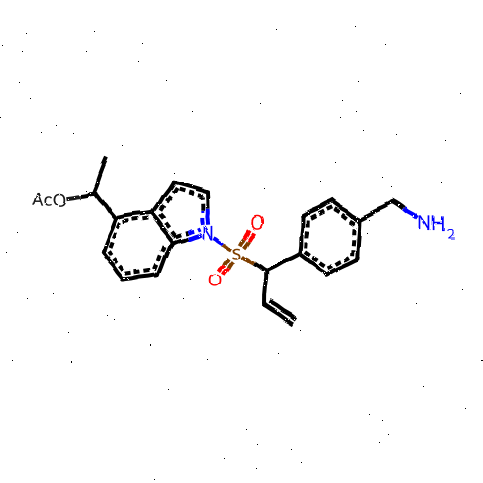 C=CC(c1ccc(CN)cc1)S(=O)(=O)n1ccc2c(C(C)OC(C)=O)cccc21